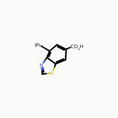 CC(C)c1cc(C(=O)O)cc2scnc12